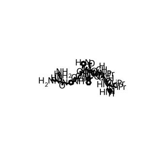 CC(C)CC(CC(C)C)NC(=O)[C@H](Cc1cnc[nH]1)NC(=O)CNC(=O)[C@@H](NC(=O)[C@H](C)NC(=O)[C@H](Cc1c[nH]c2ccccc12)NC(=O)[C@H](CCC(N)=O)NC(=O)[C@@H](Cc1ccccc1)NC(=O)COCC(=O)Nc1ccc(CNC(=O)C(CNCCN)CNCCN)cc1)C(C)C